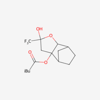 CCC(C)C(=O)OC12CC(O)(C(F)(F)F)OC1C1CCC2C1